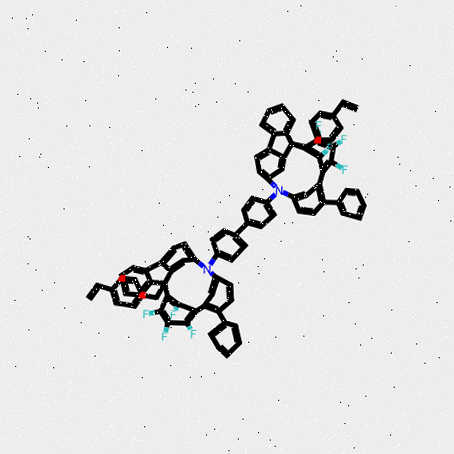 C=Cc1ccc(CC23c4ccccc4-c4ccc(cc42)N(c2ccc(-c4ccc(N5c6ccc(-c7ccccc7)c(c6)-c6c(F)c(F)c(F)c(c6F)C6(Cc7ccc(C=C)cc7)c7ccccc7-c7ccc5cc76)cc4)cc2)c2ccc(-c4ccccc4)c(c2)-c2c(F)c(F)c(F)c3c2F)cc1